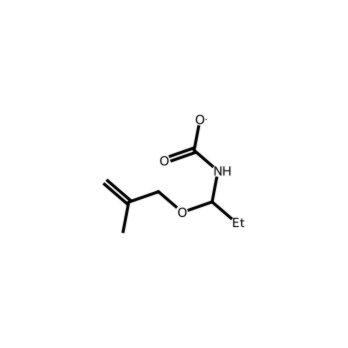 C=C(C)COC(CC)NC([O])=O